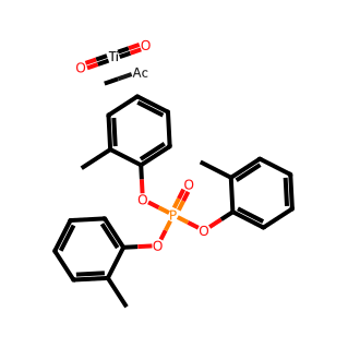 CC(C)=O.Cc1ccccc1OP(=O)(Oc1ccccc1C)Oc1ccccc1C.[O]=[Ti]=[O]